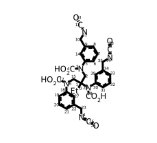 CCC(CN(C(=O)O)c1cccc(CN=C=O)c1)(CN(C(=O)O)c1cccc(CN=C=O)c1)N(C(=O)O)c1cccc(CN=C=O)c1